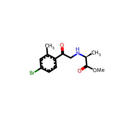 COC(=O)[C@H](C)NCC(=O)c1ccc(Br)cc1C